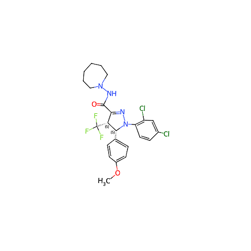 COc1ccc([C@@H]2[C@H](C(F)(F)F)C(C(=O)NN3CCCCCC3)=NN2c2ccc(Cl)cc2Cl)cc1